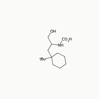 CC(C)(C)C1(CC(CO)NC(=O)O)CCCCC1